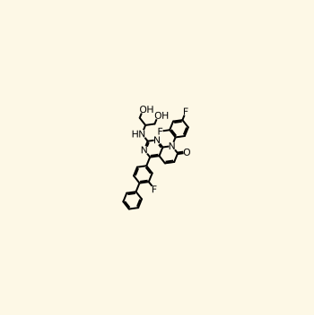 O=c1ccc2c(-c3ccc(-c4ccccc4)c(F)c3)nc(NC(CO)CO)nc2n1-c1ccc(F)cc1F